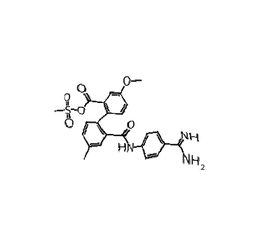 COc1ccc(-c2ccc(C)cc2C(=O)Nc2ccc(C(=N)N)cc2)c(C(=O)OS(C)(=O)=O)c1